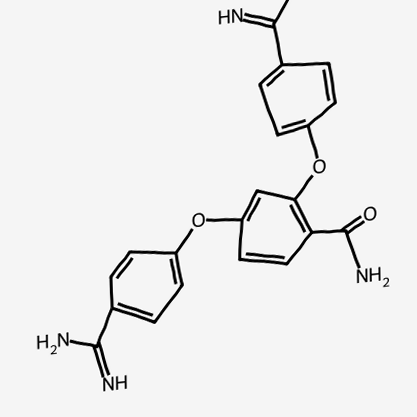 N=C(N)c1ccc(Oc2ccc(C(N)=O)c(Oc3ccc(C(=N)N)cc3)c2)cc1